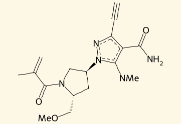 C#Cc1nn([C@H]2C[C@H](COC)N(C(=O)C(=C)C)C2)c(NC)c1C(N)=O